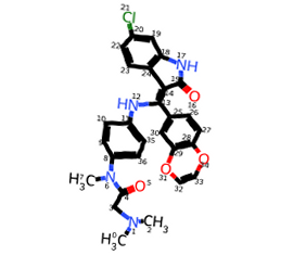 CN(C)CC(=O)N(C)c1ccc(NC(=C2C(=O)Nc3cc(Cl)ccc32)c2ccc3c(c2)OC=CO3)cc1